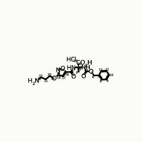 C[C@@](NC(=O)OCc1ccccc1)(NC(=O)c1cc(OCCCN)no1)C(=O)O.Cl